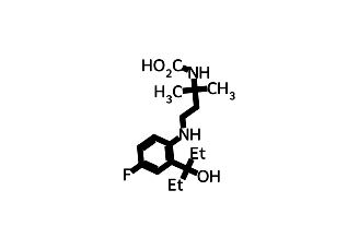 CCC(O)(CC)c1cc(F)ccc1NCCC(C)(C)NC(=O)O